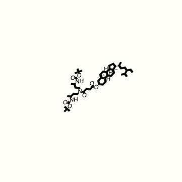 CCC(CCC(C)[C@H]1CC[C@H]2[C@@H]3CC=C4C[C@@H](OC(=O)CCC(=O)N(CCC(C)NC(=O)OC(C)(C)C)CCC(C)NC(=O)OC(C)(C)C)CC[C@]4(C)[C@H]3CC[C@]12C)C(C)C